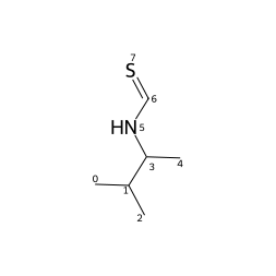 CC(C)C(C)NC=S